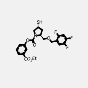 CCOC(=O)c1cccc(OC(=O)N2C[C@H](S)C[C@H]2COCc2cc(F)c(F)cc2F)c1